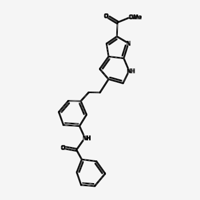 COC(=O)c1cc2cc(CCc3cccc(NC(=O)c4ccccc4)c3)c[nH]c-2n1